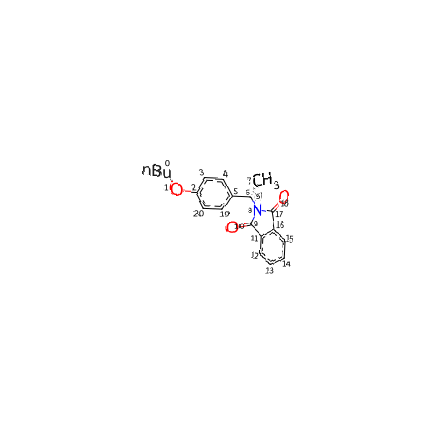 CCCCOc1ccc([C@H](C)N2C(=O)c3ccccc3C2=O)cc1